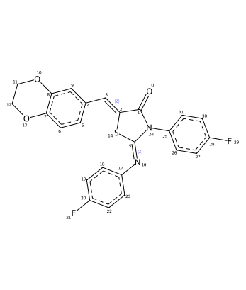 O=C1/C(=C/c2ccc3c(c2)OCCO3)S/C(=N\c2ccc(F)cc2)N1c1ccc(F)cc1